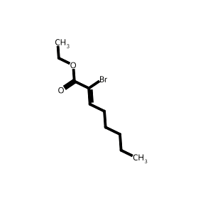 CCCCCC=C(Br)C(=O)OCC